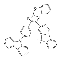 CC1(C)c2ccccc2-c2ccc(-c3c(-c4ccc(-n5c6ccccc6c6ccccc65)cc4)nc4sc5ccccc5n34)cc21